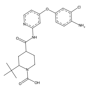 CC(C)(C)C1CC(C(=O)Nc2cc(Oc3ccc(N)c(Cl)c3)ccn2)CCN1C(=O)O